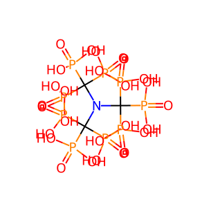 O=P(O)(O)C(N(C(P(=O)(O)O)(P(=O)(O)O)P(=O)(O)O)C(P(=O)(O)O)(P(=O)(O)O)P(=O)(O)O)(P(=O)(O)O)P(=O)(O)O